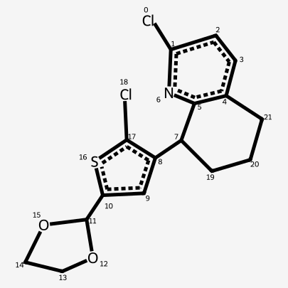 Clc1ccc2c(n1)C(c1cc(C3OCCO3)sc1Cl)CCC2